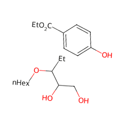 CCCCCCOC(CC)C(O)CO.CCOC(=O)c1ccc(O)cc1